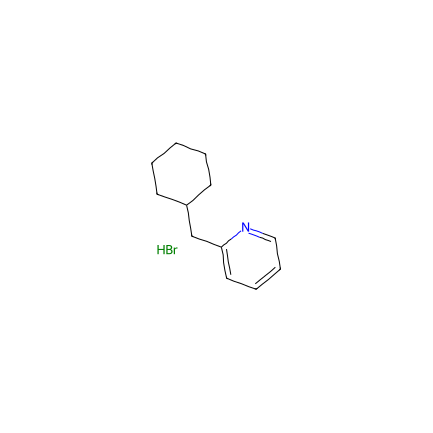 Br.c1ccc(CC2CCCCC2)nc1